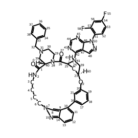 O=C1NCCCCn2cc3c(cccc3n2)-c2cccc(c2)O[C@H]2C[C@@H](C(=O)N3CCN(Cc4ccccc4)C[C@@H]13)N(c1ncnc3c1cnn3-c1ccc(F)cc1F)C2